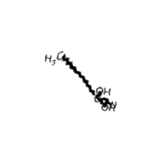 CCCCCCCCCCCCCCCCCCC[C@H](CO)Oc1ccc(C#N)c(O)c1